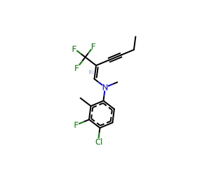 CCC#C/C(=C\N(C)c1ccc(Cl)c(F)c1C)C(F)(F)F